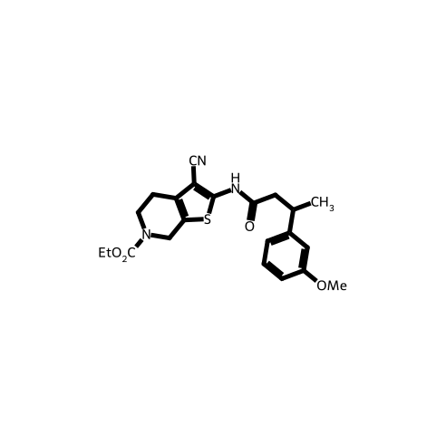 CCOC(=O)N1CCc2c(sc(NC(=O)CC(C)c3cccc(OC)c3)c2C#N)C1